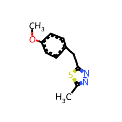 COc1ccc(Cc2nnc(C)s2)cc1